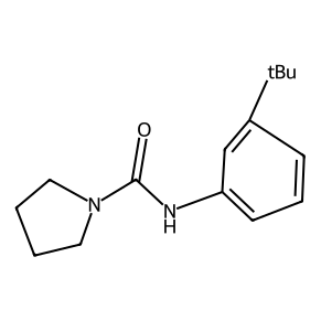 CC(C)(C)c1cccc(NC(=O)N2CCCC2)c1